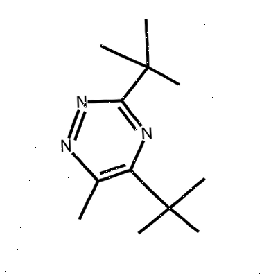 Cc1nnc(C(C)(C)C)nc1C(C)(C)C